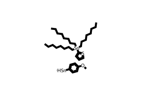 CCCCCCC[CH2][Sn]([CH2]CCCCCCC)([CH2]CCCCCCC)[c]1cccs1.COc1cc[c]([SnH])cc1